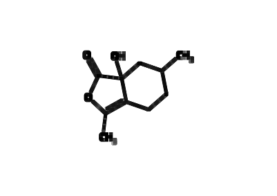 CC1=C2CCC(C)CC2(O)C(=O)O1